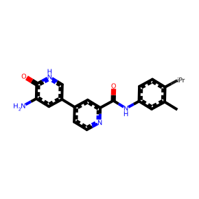 Cc1cc(NC(=O)c2cc(-c3c[nH]c(=O)c(N)c3)ccn2)ccc1C(C)C